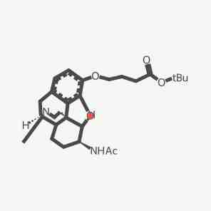 CC(=O)N[C@H]1CCC2[C@H]3Cc4ccc(OCCCC(=O)OC(C)(C)C)c5c4[C@@]2(CCN3C)[C@H]1O5